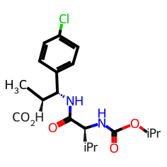 CC(C)OC(=O)N[C@H](C(=O)N[C@@H](c1ccc(Cl)cc1)[C@H](C)C(=O)O)C(C)C